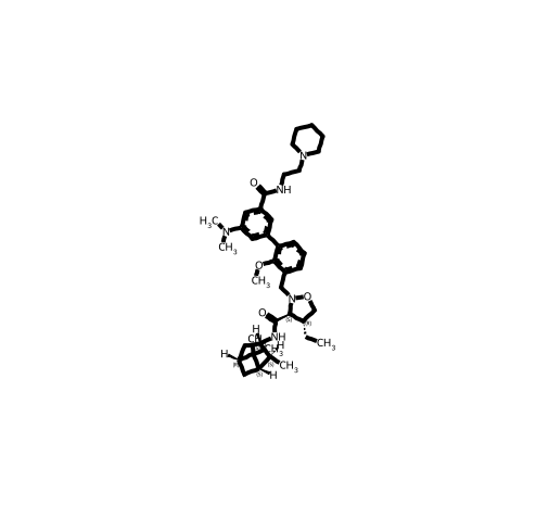 CC[C@H]1CON(Cc2cccc(-c3cc(C(=O)NCCN4CCCCC4)cc(N(C)C)c3)c2OC)[C@@H]1C(=O)N[C@H]1C[C@H]2C[C@@H]([C@@H]1C)C2(C)C